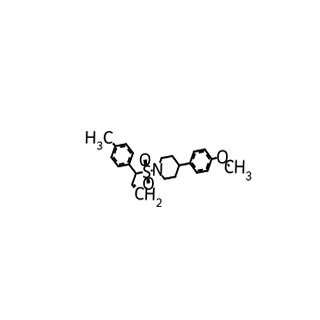 C=CC(c1ccc(C)cc1)S(=O)(=O)N1CCC(c2ccc(OC)cc2)CC1